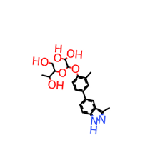 Cc1cc(-c2ccc3[nH]nc(C)c3c2)ccc1OC(OC(CO)C(C)O)C(O)O